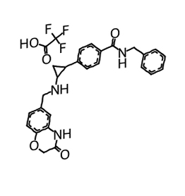 O=C(O)C(F)(F)F.O=C1COc2ccc(CNC3CC3c3ccc(C(=O)NCc4ccccc4)cc3)cc2N1